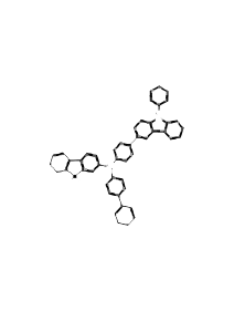 CC1(C)C2=C(C=CCC2)c2ccc(N(c3ccc(C4=CCCC=C4)cc3)c3ccc(-c4ccc5c(c4)c4ccccc4n5-c4ccccc4)cc3)cc21